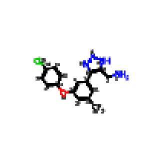 NCc1[nH]nnc1-c1cc(Oc2ccc(Cl)cc2)cc(C(F)(F)F)c1